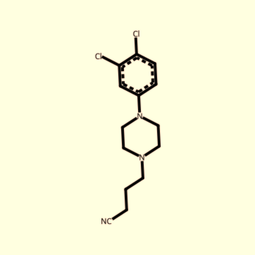 N#CCCCN1CCN(c2ccc(Cl)c(Cl)c2)CC1